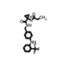 CCC(=O)NC1(C(=O)NCc2ccc(Nc3ccccc3C(F)(F)F)cc2)CC1